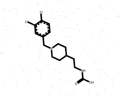 O=C(O)NCCC1CCN(Cc2ccc(Cl)c(Cl)c2)CC1